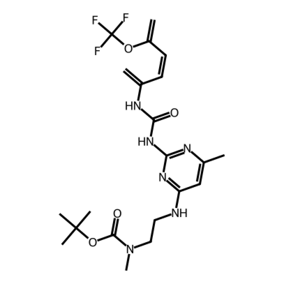 C=C(/C=C\C(=C)OC(F)(F)F)NC(=O)Nc1nc(C)cc(NCCN(C)C(=O)OC(C)(C)C)n1